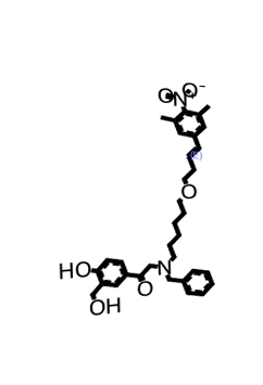 Cc1cc(/C=C/CCOCCCCCCN(CC(=O)c2ccc(O)c(CO)c2)Cc2ccccc2)cc(C)c1[N+](=O)[O-]